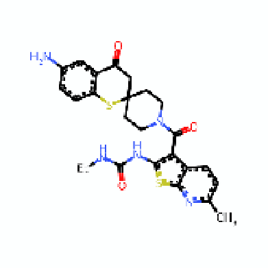 CCNC(=O)Nc1sc2nc(C)ccc2c1C(=O)N1CCC2(CC1)CC(=O)c1cc(N)ccc1S2